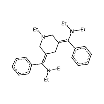 CCN1CC(=C(c2ccccc2)N(CC)CC)CC(=C(c2ccccc2)N(CC)CC)C1